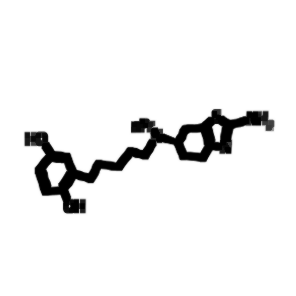 CCCN(CCCCCc1cc(O)ccc1O)[C@@H]1CCc2nc(N)sc2C1